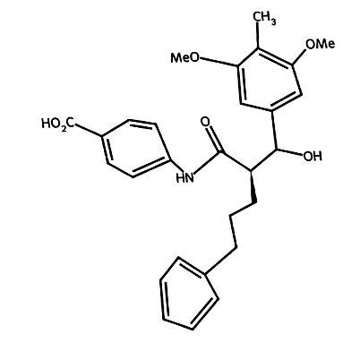 COc1cc(C(O)[C@@H](CCCc2ccccc2)C(=O)Nc2ccc(C(=O)O)cc2)cc(OC)c1C